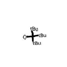 CC(C)(C)C([O])(C(C)(C)C)C(C)(C)C